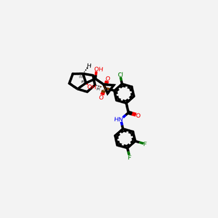 O=C(Nc1ccc(F)c(F)c1)c1ccc(Cl)c(S(=O)(=O)[C@@H]2CC3CC[C@@H](C2)[C@@]3(O)C(O)C2CC2)c1